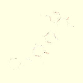 CCc1ccc(C(=O)N(C)C)c(Oc2ccc(-n3ncc(NC[C@@]4(F)CCCOC4)c(Cl)c3=O)cn2)c1